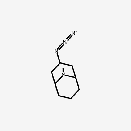 CN1C2CCCC1CC(N=[N+]=[N-])C2